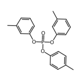 Cc1ccc(OP(=O)(Oc2cccc(C)c2)Oc2cccc(C)c2)cc1